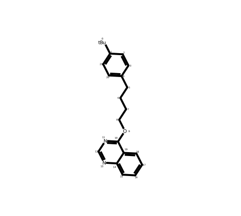 CC(C)(C)c1ccc(CCCCOc2ncnc3ccccc23)cc1